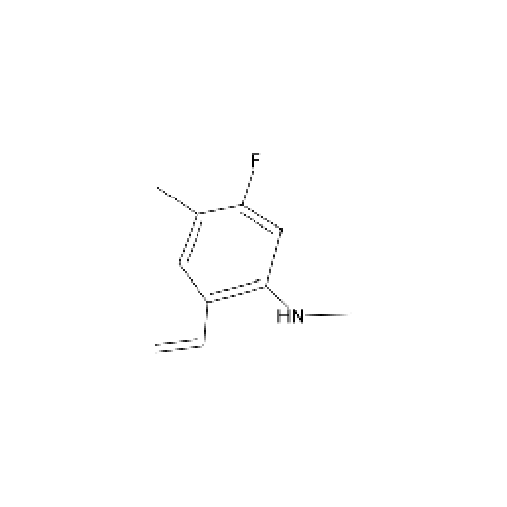 C=Cc1cc(C)c(F)cc1NC